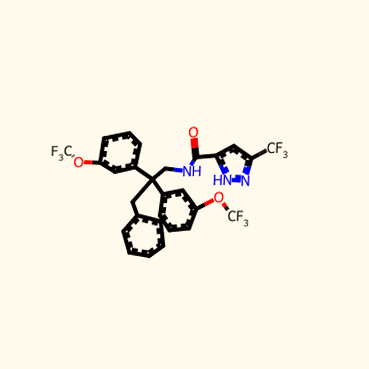 O=C(NCC(Cc1ccccc1)(c1cccc(OC(F)(F)F)c1)c1cccc(OC(F)(F)F)c1)c1cc(C(F)(F)F)n[nH]1